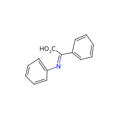 O=C(O)/C(=N\c1ccccc1)c1ccccc1